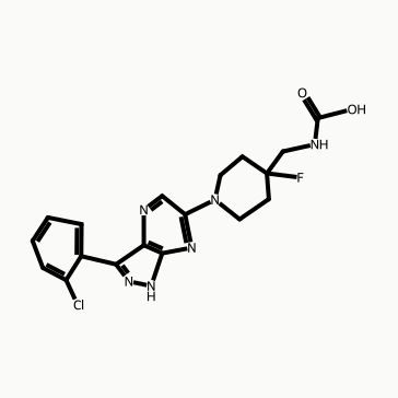 O=C(O)NCC1(F)CCN(c2cnc3c(-c4ccccc4Cl)n[nH]c3n2)CC1